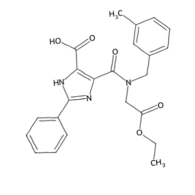 CCOC(=O)CN(Cc1cccc(C)c1)C(=O)c1nc(-c2ccccc2)[nH]c1C(=O)O